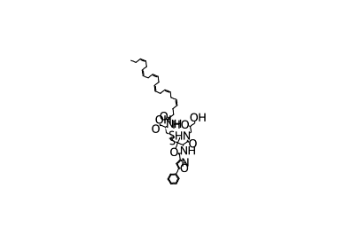 CC/C=C\C/C=C\C/C=C\C/C=C\C/C=C\C/C=C\CCC(=O)N[C@@H](CSSC(C)(C)[C@H](NC(=O)c1cc(-c2ccccc2)on1)C(=O)NC[C@@H](O)CO)C(=O)O